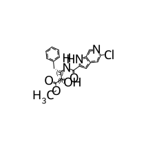 COC(=O)[C@H](O)[C@H](Cc1ccccc1)NC(=O)c1cc2cc(Cl)ncc2[nH]1